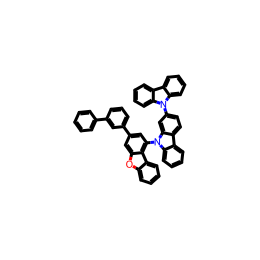 c1ccc(-c2cccc(-c3cc(-n4c5ccccc5c5ccc(-n6c7ccccc7c7ccccc76)cc54)c4c(c3)oc3ccccc34)c2)cc1